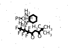 CC(C)(C)C(=O)CC(=O)C(F)(F)C(F)(F)C(F)(F)F.N[C@@H]1CCCC[C@H]1N.[OH][Pt]